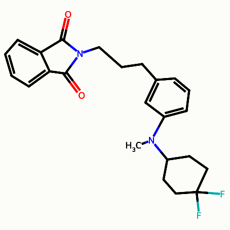 CN(c1cccc(CCCN2C(=O)c3ccccc3C2=O)c1)C1CCC(F)(F)CC1